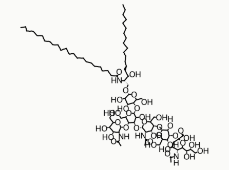 CCCCCCCCCCCCC/C=C/[C@@H](O)[C@H](CO[C@@H]1OC(CO)[C@@H](O[C@@H]2OC(CO)[C@H](O[C@@H]3OC(CO)[C@H](O)[C@H](O)C3NC(C)=O)[C@H](O[C@@H]3OC(CO)[C@@H](O[C@@H]4OC(CO)[C@H](O)[C@H](O[C@]5(C(=O)O)CC(O)[C@@H](NC(C)=O)C([C@H](O)[C@H](O)CO)O5)C4O)[C@H](O)C3NC(C)=O)C2O)[C@H](O)C1O)NC(=O)CCCCCCCCCCCCCCCCCCCCCCC